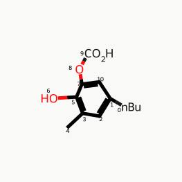 CCCCc1cc(C)c(O)c(OC(=O)O)c1